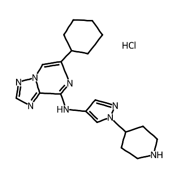 Cl.c1nc2c(Nc3cnn(C4CCNCC4)c3)nc(C3CCCCC3)cn2n1